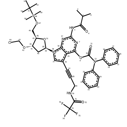 CC(C)C(=O)Nc1nc(OC(=O)N(c2ccccc2)c2ccccc2)c2c(C#CCNC(=O)C(F)(F)F)cn([C@H]3C[C@H](OCCl)[C@@H](CO[Si](C)(C)C(C)(C)C)O3)c2n1